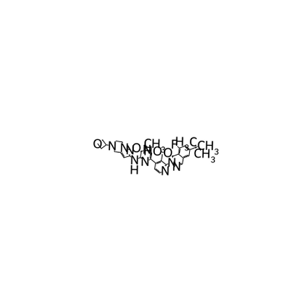 Cn1cc(-c2ccnc(-n3ncc4cc(C(C)(C)C)cc(F)c4c3=O)c2CO)nc(Nc2cc3n(n2)CCN(C2COC2)C3)c1=O